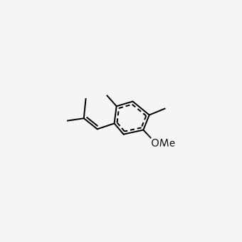 COc1cc(C=C(C)C)c(C)cc1C